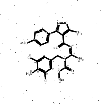 COc1ccc(-c2noc(C)c2C(=O)N=C(N)N(Cc2cc(Cl)c(N)c(Cl)c2)C(=O)OC(C)(C)C)cc1